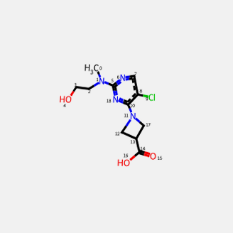 CN(CCO)c1ncc(Cl)c(N2CC(C(=O)O)C2)n1